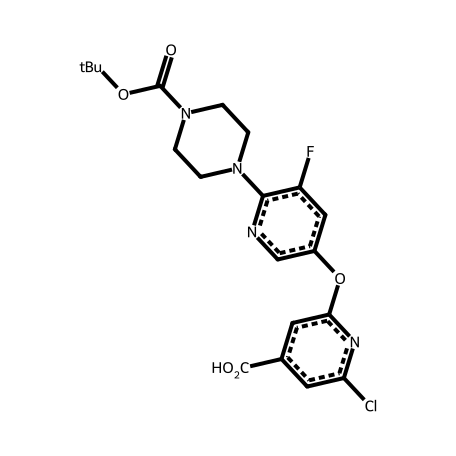 CC(C)(C)OC(=O)N1CCN(c2ncc(Oc3cc(C(=O)O)cc(Cl)n3)cc2F)CC1